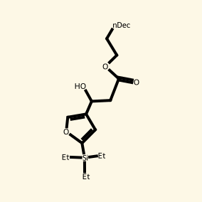 CCCCCCCCCCCCOC(=O)CC(O)c1coc([Si](CC)(CC)CC)c1